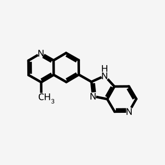 Cc1ccnc2ccc(-c3nc4cnccc4[nH]3)cc12